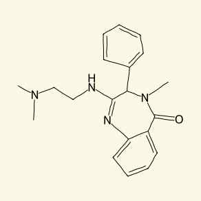 CN(C)CCNC1=Nc2ccccc2C(=O)N(C)C1c1ccccc1